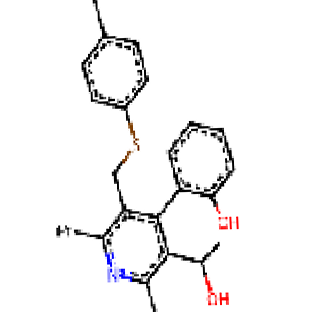 Cc1ccc(SCc2c(C(C)C)nc(C(C)C)c(C(C)O)c2-c2ccccc2O)cc1